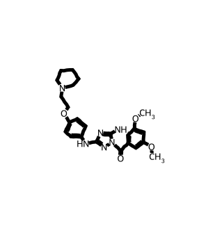 COc1cc(OC)cc(C(=O)n2nc(Nc3ccc(OCCN4CCCCC4)cc3)nc2N)c1